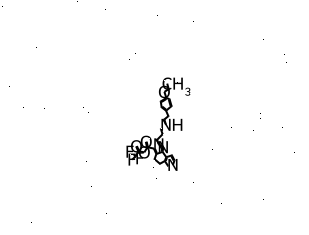 CCOc1ccc(CCNCCCn2nc3c(c2C(=O)OC(=O)C(F)(F)F)CCc2cnccc2-3)cc1